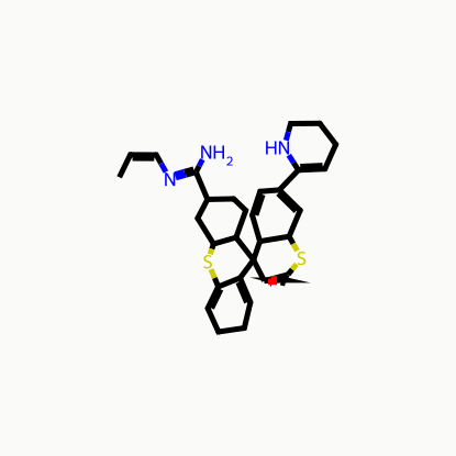 C/C=C\N=C(/N)C1CCC2C(C1)SC1=CCCC=C1C21C2C=CC=CC2SC2C=C(C3=CCCCN3)C=CC21